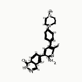 CC(C)N1CCN(c2ccc(-c3cc(-c4ccc5c(=O)[nH]ncc5c4)c(N)nc3F)cc2)CC1